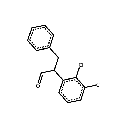 O=CC(Cc1ccccc1)c1cccc(Cl)c1Cl